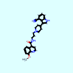 COc1cccc2c(C(=O)NCCCN3CCC(c4c[nH]c5cccc(C#N)c45)CC3)ccnc12